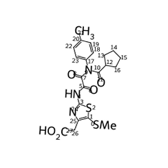 CSc1sc(NC(=O)C(=O)N(C(=O)C2CCCC2)c2ccc(C)cc2)nc1CC(=O)O